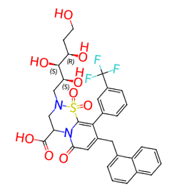 O=C(O)C1CN(C[C@H](O)[C@@H](O)[C@H](O)CCO)S(=O)(=O)c2c(-c3cccc(C(F)(F)F)c3)c(Cc3cccc4ccccc34)cc(=O)n21